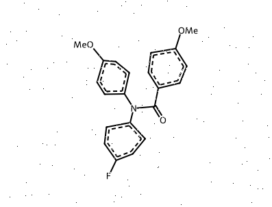 COc1ccc(C(=O)N(c2ccc(F)cc2)c2ccc(OC)cc2)cc1